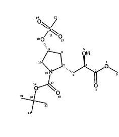 COC(=O)[C@H](O)C[C@H]1C[C@@H](OS(C)(=O)=O)CN1C(=O)OC(C)(C)C